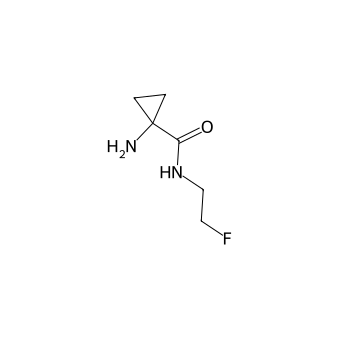 NC1(C(=O)NCCF)CC1